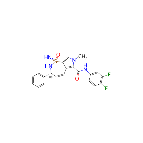 Cn1cc2c(c1C(=O)Nc1ccc(F)c(F)c1)C=C[C@H](c1ccccc1)NS2(=N)=O